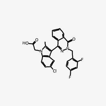 Cc1c(-c2nn(Cc3ccc(F)cc3F)c(=O)c3ccccc23)c2cc(Cl)ccc2n1CC(=O)O